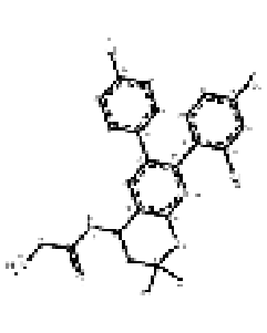 CC1(C)CC(NC(=O)CN)c2cc(-c3ccc(Cl)cc3)c(-c3ccc(Cl)cc3Cl)nc2O1